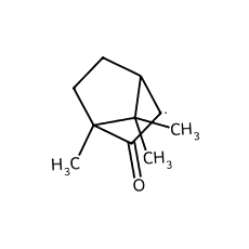 CC12CCC([CH]C1=O)C2(C)C